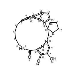 O=C1NCCCCc2cnc3c(ccn3C3(CCCC3)Cn3cc(O)c(=O)c1n3)c2